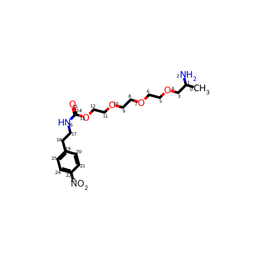 CC(N)COCCOCCOCCOC(=O)NCCc1ccc([N+](=O)[O-])cc1